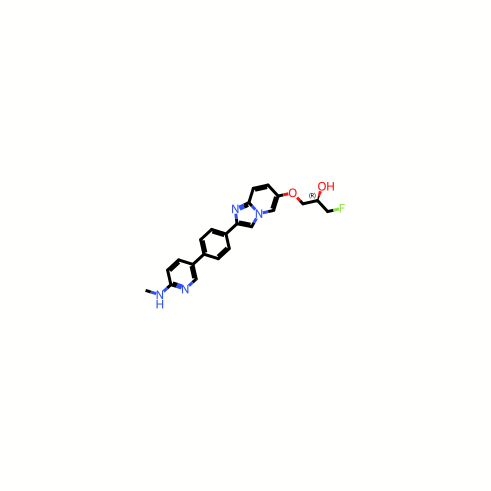 CNc1ccc(-c2ccc(-c3cn4cc(OC[C@@H](O)CF)ccc4n3)cc2)cn1